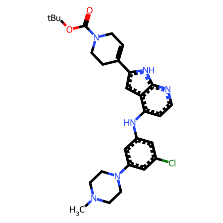 CN1CCN(c2cc(Cl)cc(Nc3ccnc4[nH]c(C5=CCN(C(=O)OC(C)(C)C)CC5)cc34)c2)CC1